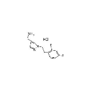 Cl.NCc1cnn(CCc2ccc(F)cc2F)c1